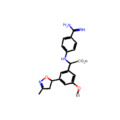 CCOc1cc(C2CC(C)=NO2)cc(C(Nc2ccc(C(=N)N)cc2)C(=O)O)c1